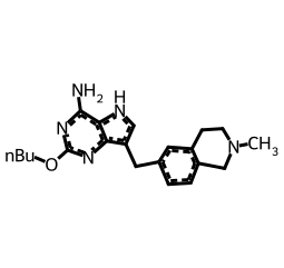 CCCCOc1nc(N)c2[nH]cc(Cc3ccc4c(c3)CCN(C)C4)c2n1